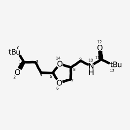 CC(C)(C)C(=O)CCC1OCC(CNC(=O)C(C)(C)C)O1